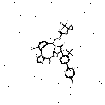 CC(C)(C)C[C@]1(c2ccc(-c3ncc(F)cn3)cc2)N/C2=N\C(F)c3ncnn3-c3cc(ccc3Cl)[C@@H](COC(=O)NC3(C(F)(F)F)CC3)N2C1=O